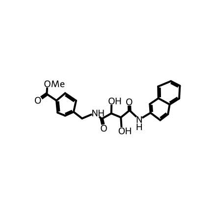 COC(=O)c1ccc(CNC(=O)C(O)C(O)C(=O)Nc2ccc3ccccc3c2)cc1